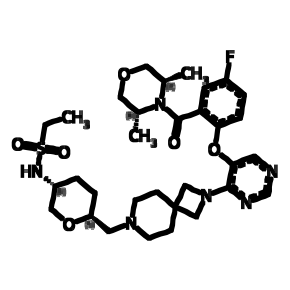 CCS(=O)(=O)N[C@@H]1CC[C@@H](CN2CCC3(CC2)CN(c2ncncc2Oc2ccc(F)cc2C(=O)N2[C@H](C)COC[C@H]2C)C3)OC1